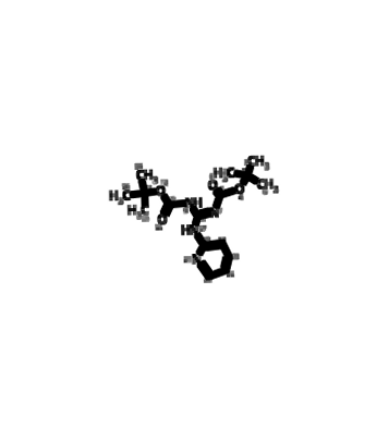 CC(C)(C)OC(=O)N=C(NC(=O)OC(C)(C)C)Nc1ccccn1